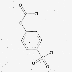 O=C(Cl)Oc1ccc(S(=O)(=O)Cl)cc1